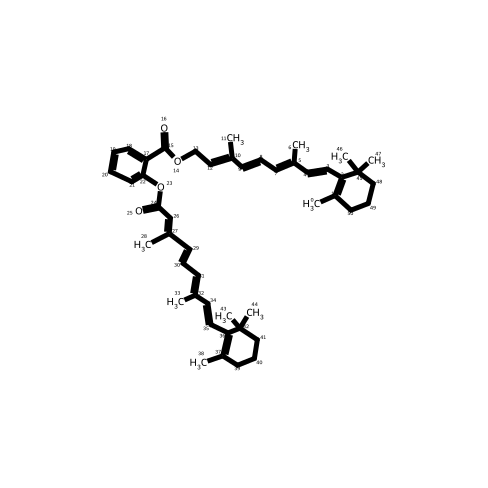 CC1=C(/C=C/C(C)=C/C=C/C(C)=C/COC(=O)c2ccccc2OC(=O)/C=C(C)/C=C/C=C(C)/C=C/C2=C(C)CCCC2(C)C)C(C)(C)CCC1